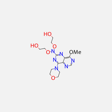 COc1ncnc2c(N3CCOCC3)nc(N(OCCO)OCCO)nc12